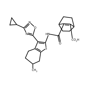 CC1CCc2c(sc(NC(=O)C3=C(C(=O)O)C4CCC3CC4)c2-c2nc(C3CC3)no2)C1